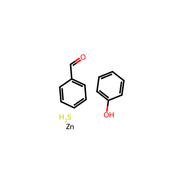 O=Cc1ccccc1.Oc1ccccc1.S.[Zn]